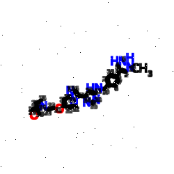 CN/C=C(\C=N)c1ccc(CNc2cc(-c3cnc4cc(OCCN5CCC56COC6)ccn34)ncn2)cc1